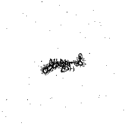 CP(C)(=O)c1cccc(OCC#Cc2cnc(N3CCC4(CC3)Cc3ccccc3[C@H]4N)c(CO)n2)c1